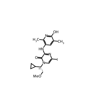 COC[C@H](C1CC1)n1cc(I)nc(Nc2cc(C)c(O)nc2C)c1=O